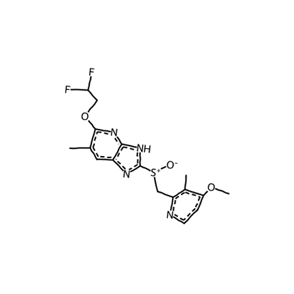 COc1ccnc(C[S+]([O-])c2nc3cc(C)c(OCC(F)F)nc3[nH]2)c1C